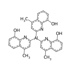 Cc1c[c]([Al]([c]2cc(C)c3cccc(O)c3n2)[c]2cc(C)c3cccc(O)c3n2)nc2c(O)cccc12